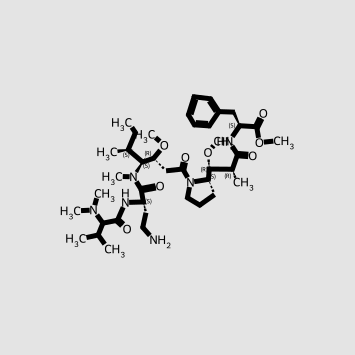 CC[C@H](C)[C@@H]([C@@H](CC(=O)N1CCC[C@H]1[C@H](OC)[C@@H](C)C(=O)N[C@@H](Cc1ccccc1)C(=O)OC)OC)N(C)C(=O)[C@H](CCN)NC(=O)C(C(C)C)N(C)C